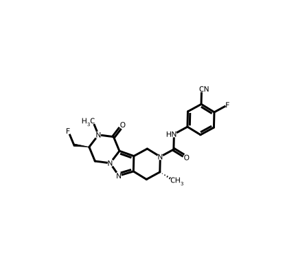 C[C@@H]1Cc2nn3c(c2CN1C(=O)Nc1ccc(F)c(C#N)c1)C(=O)N(C)[C@H](CF)C3